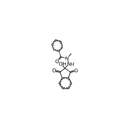 CN(NC1(O)C(=O)c2ccccc2C1=O)C(=O)c1ccccc1